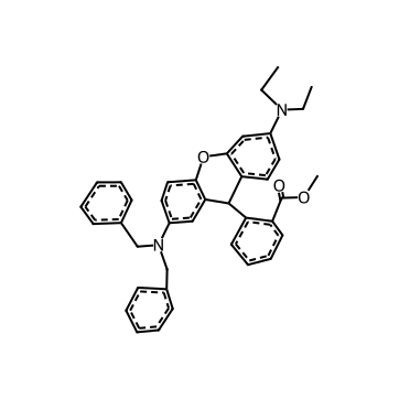 CCN(CC)c1ccc2c(c1)Oc1ccc(N(Cc3ccccc3)Cc3ccccc3)cc1C2c1ccccc1C(=O)OC